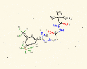 CC(C)(C)C(=O)NNC(=O)/C=C\n1cnc(-c2cc(C(F)(F)F)cc(S(F)(F)(F)(F)F)c2)n1